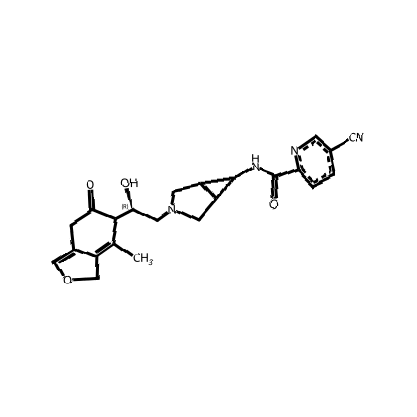 CC1=C2COC=C2CC(=O)C1[C@@H](O)CN1CC2C(C1)C2NC(=O)c1ccc(C#N)cn1